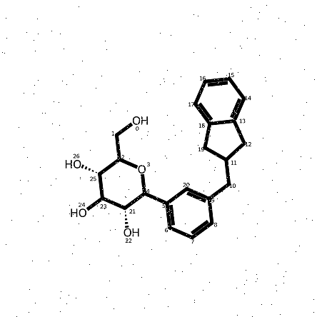 OCC1OC(c2cccc(CC3Cc4ccccc4C3)c2)[C@H](O)C(O)[C@@H]1O